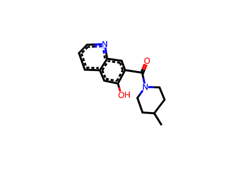 CC1CCN(C(=O)c2cc3ncccc3cc2O)CC1